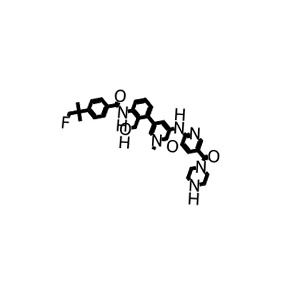 Cn1cc(-c2cccc(NC(=O)c3ccc(C(C)(C)CF)cc3)c2CO)cc(Nc2ccc(C(=O)N3CCNCC3)cn2)c1=O